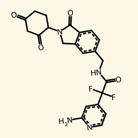 Nc1cc(C(F)(F)C(=O)NCc2ccc3c(c2)CN(C2CCC(=O)CC2=O)C3=O)ccn1